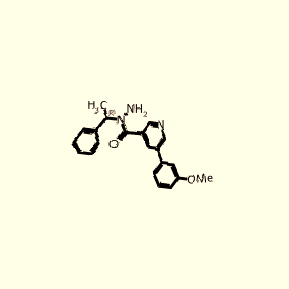 COc1cccc(-c2cncc(C(=O)N(N)[C@H](C)c3ccccc3)c2)c1